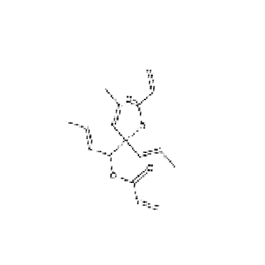 C=CC(=O)OC(C=CC)C(C=CC)(C=CC)OC(=O)C=C